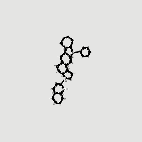 c1ccc(-n2c3ccccc3c3cc4ccc5c(ccn5-c5ccc6ccccc6n5)c4cc32)cc1